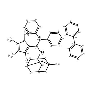 CC1=C(C)C(C)[C]([Ti]([NH]C23CC4CC(CC(F)(C4)C2)C3)[SiH](c2ccccc2)c2ccccc2)=C1C.c1ccc(-c2ccccc2)cc1